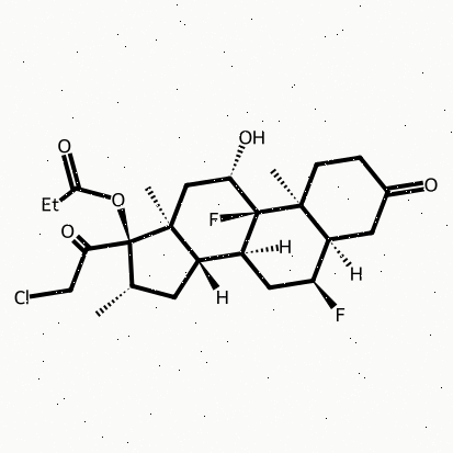 CCC(=O)O[C@]1(C(=O)CCl)[C@@H](C)C[C@H]2[C@@H]3C[C@H](F)[C@@H]4CC(=O)CC[C@]4(C)[C@@]3(F)[C@@H](O)C[C@@]21C